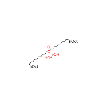 CCCCCCCC/C=C\CCCCCCCCOC(=O)CCCCCCC/C=C\CCCCCCCC.OCCO